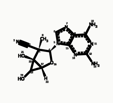 C[C@]1(C#N)[C@H](n2cnc3c(N)nc(N)nc32)O[C@@H]2C(O)[C@@]21O